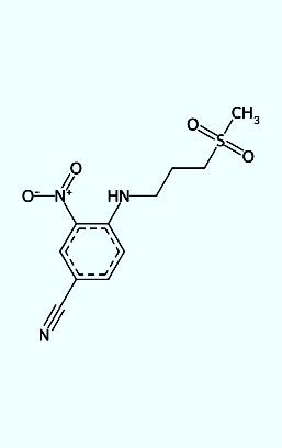 CS(=O)(=O)CCCNc1ccc(C#N)cc1[N+](=O)[O-]